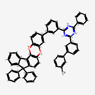 N#Cc1cccc(-c2cccc(-c3nc(-c4ccccc4)nc(-c4cccc(-c5ccc6c(c5)Oc5ccc7c(c5O6)-c5ccccc5C7(c5ccccc5)c5ccccc5)c4)n3)c2)c1